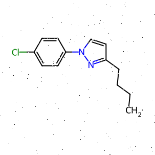 [CH2]CCCc1ccn(-c2ccc(Cl)cc2)n1